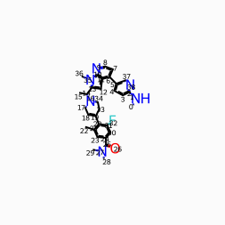 CNc1ccc(-c2ccnc3c2cc(C(C)N2CC=C(c4c(C)cc(C(=O)N(C)C)cc4F)CC2)n3C)cn1